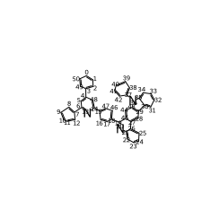 c1ccc(-c2cc(-c3ccccc3)nc(-c3ccc(-c4nc5ccccc5c5cc6c7ccccc7n(-c7ccccc7)c6cc45)cc3)c2)cc1